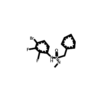 CN=S(=O)(Cc1ccccc1)Nc1ccc(Br)c(F)c1F